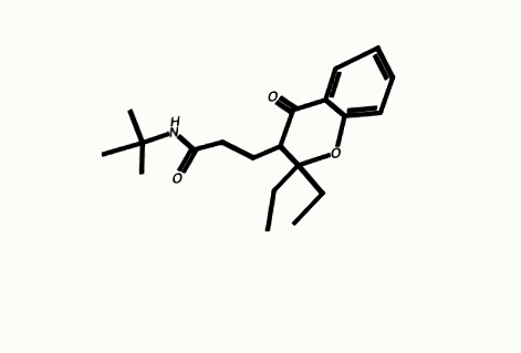 CCC1(CC)Oc2ccccc2C(=O)C1CCC(=O)NC(C)(C)C